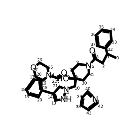 CC(CC(=O)N1CCC(O)(CN2NC=C(c3ccccc3)[C@@H]2C(=O)N2CCOCC2)CC1)c1ccccc1.c1ccncc1